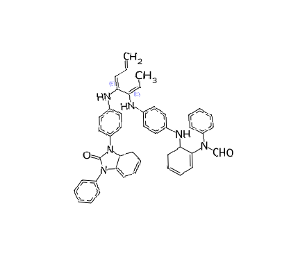 C=C/C=C(Nc1ccc(N2C(=O)N(c3ccccc3)C3=CC=CCC32)cc1)\C(=C/C)Nc1ccc(NC2CC=CC=C2N(C=O)c2ccccc2)cc1